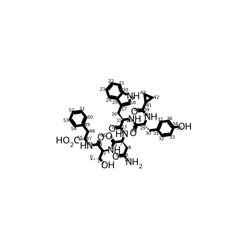 C[C@@H](O)[C@H](NC(=O)[C@H](CC(N)=O)NC(=O)[C@@H](Cc1c[nH]c2ccccc12)NC(=O)[C@@H](Cc1ccc(O)cc1)NC(=O)C1CC1)C(=O)N[C@@H](Cc1ccccc1)C(=O)O